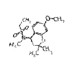 CCS(=O)(=O)N(C)C1CC(C)(C)Oc2cc(OC)ccc21